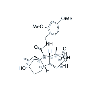 C=C1C[C@]23C[C@@]1(O)CC[C@H]2C1=C[C@H]2OC(=O)[C@@](C)([C@H]1[C@@H]3C(=O)NCc1ccc(OC)cc1OC)[C@H]2O